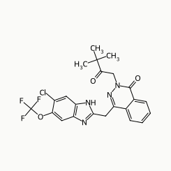 CC(C)(C)C(=O)Cn1nc(Cc2nc3cc(OC(F)(F)F)c(Cl)cc3[nH]2)c2ccccc2c1=O